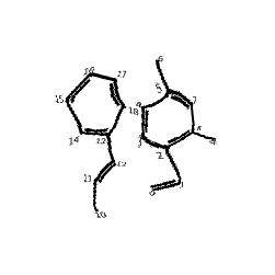 C=Cc1ccc(C)cc1C.CC=Cc1ccccc1